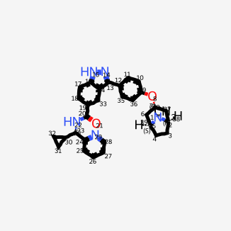 CN1[C@@H]2CC[C@H]1C[C@H](Oc1ccc(-c3n[nH]c4ccc(C(=O)N[C@H](c5ccccn5)C5CC5)cc34)cc1)C2